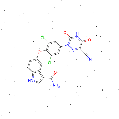 N#Cc1nn(-c2cc(Cl)c(Oc3ccc4[nH]cc(C(N)=O)c4c3)c(Cl)c2)c(=O)[nH]c1=O